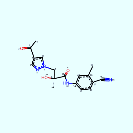 CC(=O)c1cnn(C[C@](C)(O)C(=O)Nc2ccc(C#N)c(C)c2)c1